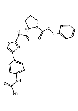 CCCCC(=O)Nc1ccc(-c2csc(NC(=O)[C@@H]3CCCN3C(=O)OCc3ccccc3)n2)cc1